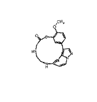 COc1ccc2cc1OC(=O)CNCCNc1ccn3ncc-2c3n1